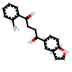 O=C(CCC(=O)c1ccccc1C(F)(F)F)c1ccc2occc2c1